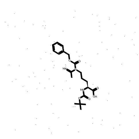 CC(=N)N(CCC[C@H](NC(=O)OC(C)(C)C)C(=O)O)C(=O)OCc1ccccc1